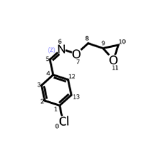 Clc1ccc(/C=N\OCC2CO2)cc1